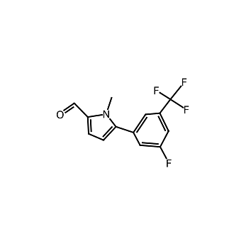 Cn1c(C=O)ccc1-c1cc(F)cc(C(F)(F)F)c1